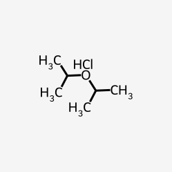 CC(C)OC(C)C.Cl